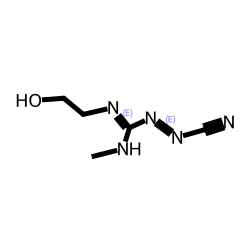 CNC(/N=N/C#N)=N\CCO